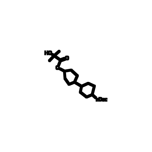 CCCCCCCCCCC1CCC(C2CCC(OC(=O)C(C)(C)O)CC2)CC1